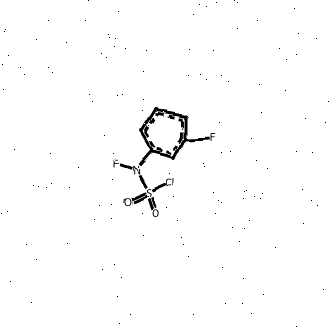 O=S(=O)(Cl)N(F)c1cccc(F)c1